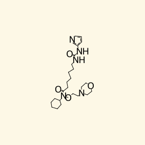 O=C(NCCCCCCC(=O)N(OCCN1CCOCC1)C1CCCCC1)Nc1cccnc1